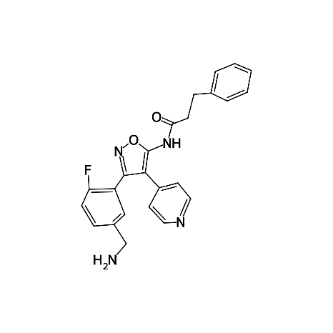 NCc1ccc(F)c(-c2noc(NC(=O)CCc3ccccc3)c2-c2ccncc2)c1